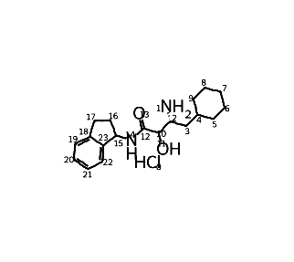 Cl.N[C@H](CC1CCCCC1)C(O)C(=O)NC1CCc2ccccc21